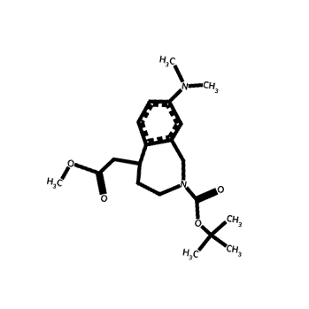 COC(=O)CC1CCN(C(=O)OC(C)(C)C)Cc2cc(N(C)C)ccc21